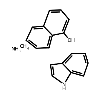 C.N.Oc1cccc2ccccc12.c1ccc2[nH]ccc2c1